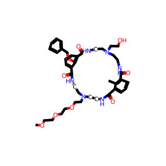 COCCOCCOCCN1CCNC(=O)c2cccc(c2C)C(=O)NCCN(CCO)CCNC(=O)c2cccc(c2OCc2ccccc2)C(=O)NCC1